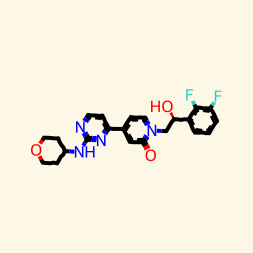 O=c1cc(-c2ccnc(NC3CCOCC3)n2)ccn1C[C@@H](O)c1cccc(F)c1F